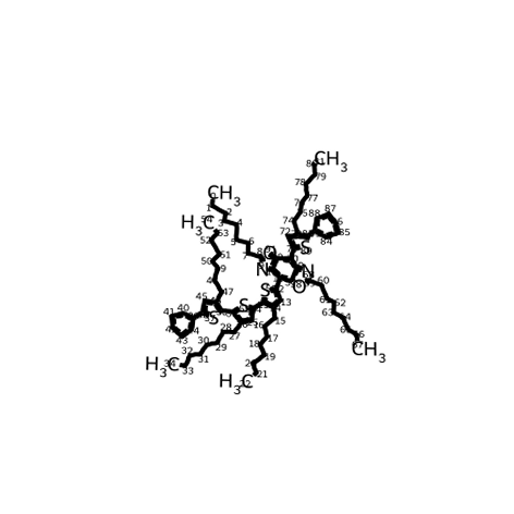 CCCCCCCCc1nc2c(-c3cc(CCCCCCCC)c(-c4cc(CCCCCCCC)c(-c5sc(-c6ccccc6)cc5CCCCCCCC)s4)s3)c3oc(CCCCCCCC)nc3c(-c3cc(CCCCCCCC)c(-c4ccccc4)s3)c2o1